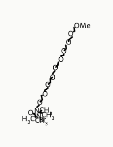 COCCOCCOCCOCCOCCOCCOCCOCCOCCOCCN1C(=O)C(C)(C)N(Br)C1(C)C